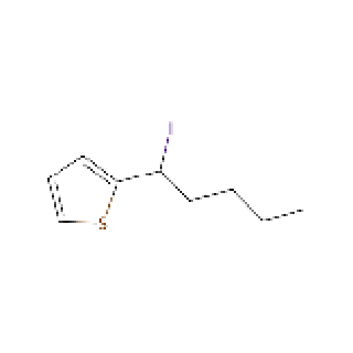 CCCCC(I)c1cccs1